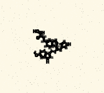 COc1ccc2c(CCN(Cc3cc[nH]c3)C3CCc4cc(/C=C/C(=O)NO)ccc43)c[nH]c2c1